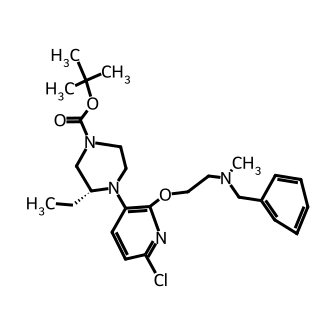 CC[C@@H]1CN(C(=O)OC(C)(C)C)CCN1c1ccc(Cl)nc1OCCN(C)Cc1ccccc1